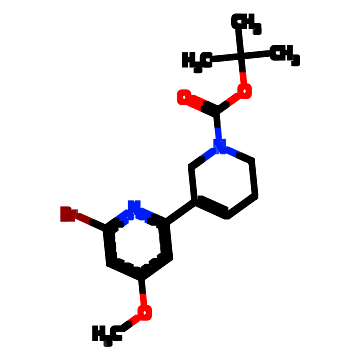 COc1cc(Br)nc(C2=CCCN(C(=O)OC(C)(C)C)C2)c1